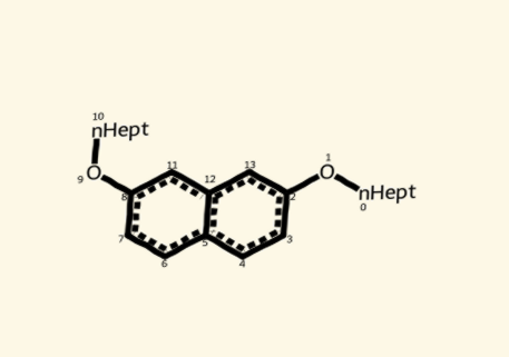 CCCCCCCOc1ccc2ccc(OCCCCCCC)cc2c1